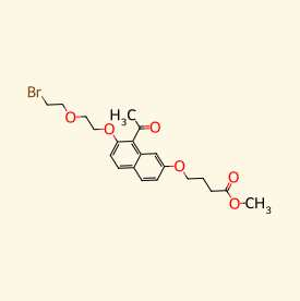 COC(=O)CCCOc1ccc2ccc(OCCOCCBr)c(C(C)=O)c2c1